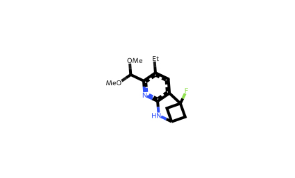 CCc1cc2c(nc1C(OC)OC)NC1CC2(F)C1